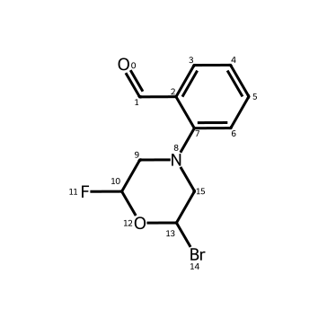 O=Cc1ccccc1N1CC(F)OC(Br)C1